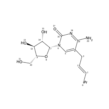 CC(C)/C=C/Cc1cn([C@@H]2O[C@H](CO)[C@@H](O)[C@@H]2O)c(=O)nc1N